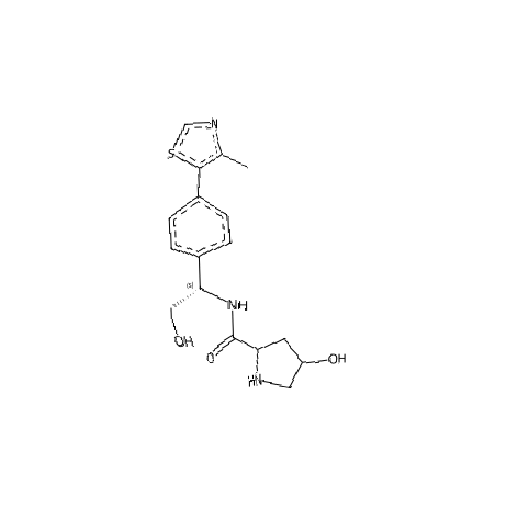 Cc1ncsc1-c1ccc([C@@H](CO)NC(=O)C2CC(O)CN2)cc1